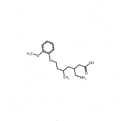 COc1ccccc1OCCC(C)CC(CN)CC(=O)O